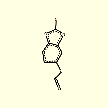 O=CNc1ccc2oc(Cl)nc2c1